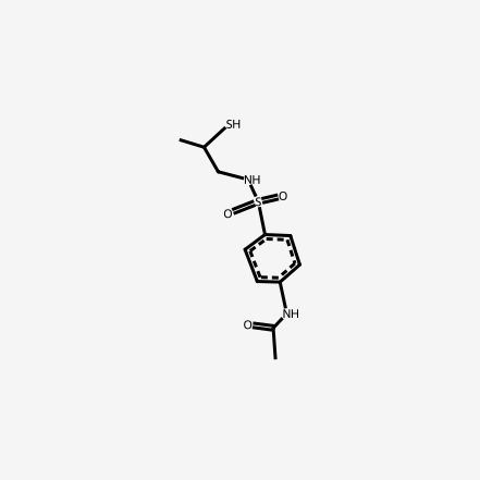 CC(=O)Nc1ccc(S(=O)(=O)NCC(C)S)cc1